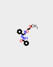 COCCO/N=C/C(=N\NC(=O)c1ccccc1)c1ccccc1